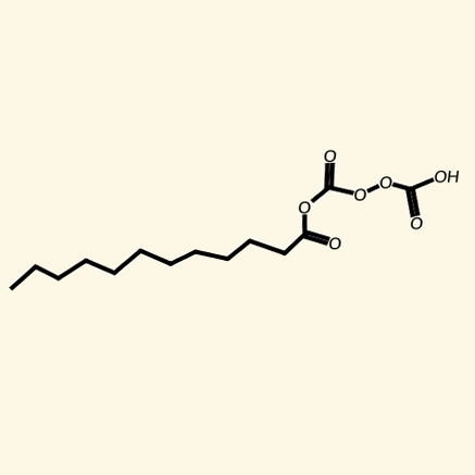 CCCCCCCCCCCC(=O)OC(=O)OOC(=O)O